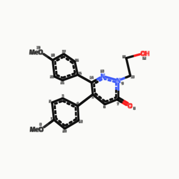 COc1ccc(-c2cc(=O)n(CCO)nc2-c2ccc(OC)cc2)cc1